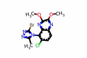 COc1nc2ccc(Cl)c(-n3c(C)nnc3Br)c2nc1OC